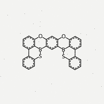 c1ccc2c(c1)SB1c3cc4c(cc3Oc3cccc-2c31)Oc1cccc2c1B4Sc1ccccc1-2